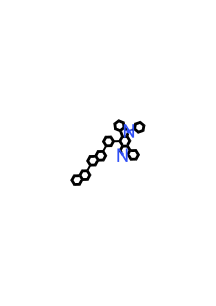 c1ccc(-n2c3ccccc3c3c(-c4cccc(-c5ccc6cc(-c7ccc8ccccc8c7)ccc6c5)c4)c4cnc5ccccc5c4cc32)cc1